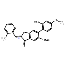 COc1cc2c(cc1-c1ccc(OC(F)(F)F)cc1O)C/C(=C\c1ncccc1C(F)(F)F)C2=O